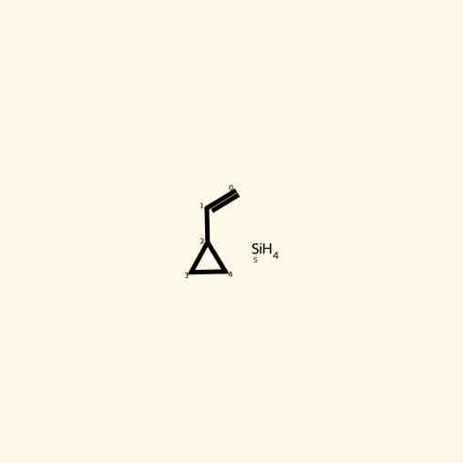 C=CC1CC1.[SiH4]